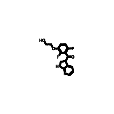 O=C(c1c(F)ccc(OCCO)c1F)C1CNc2ncccc21